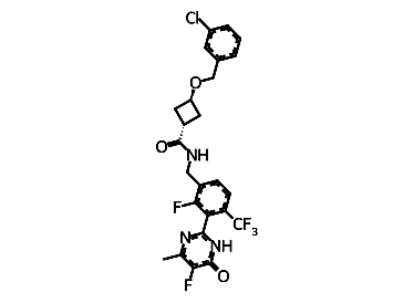 Cc1nc(-c2c(C(F)(F)F)ccc(CNC(=O)[C@H]3C[C@H](OCc4cccc(Cl)c4)C3)c2F)[nH]c(=O)c1F